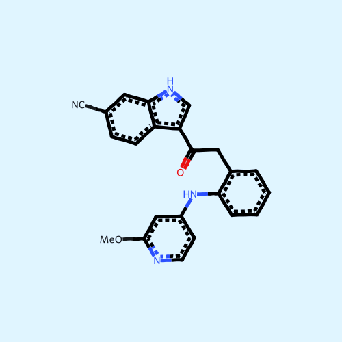 COc1cc(Nc2ccccc2CC(=O)c2c[nH]c3cc(C#N)ccc23)ccn1